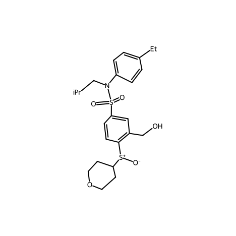 CCc1ccc(N(CC(C)C)S(=O)(=O)c2ccc([S+]([O-])C3CCOCC3)c(CO)c2)cc1